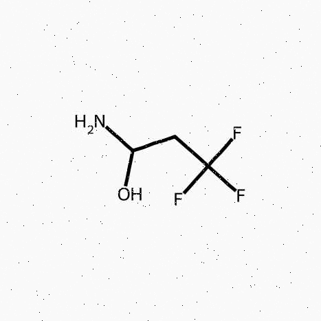 NC(O)CC(F)(F)F